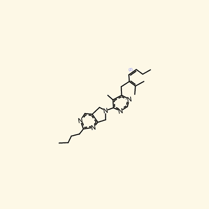 CC/C=C\C(Cc1ncnc(N2Cc3cnc(CCCC)nc3C2)c1C)=C(C)C